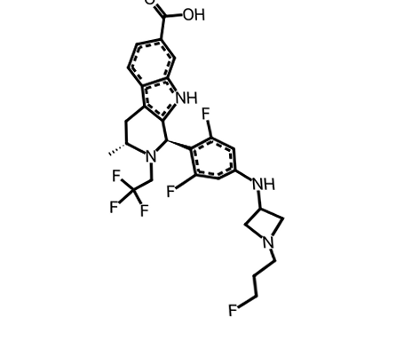 C[C@@H]1Cc2c([nH]c3cc(C(=O)O)ccc23)[C@@H](c2c(F)cc(NC3CN(CCCF)C3)cc2F)N1CC(F)(F)F